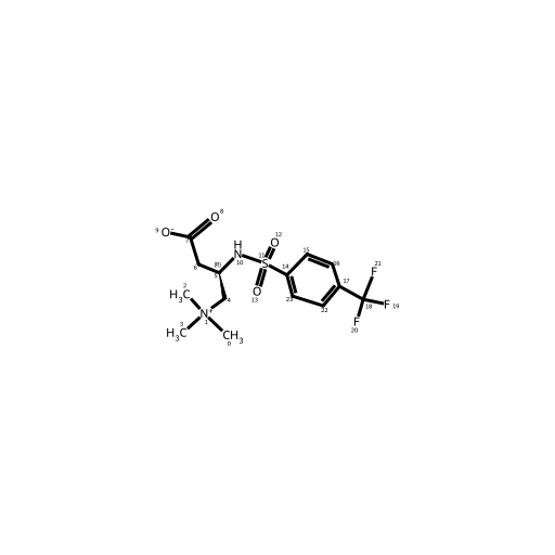 C[N+](C)(C)C[C@@H](CC(=O)[O-])NS(=O)(=O)c1ccc(C(F)(F)F)cc1